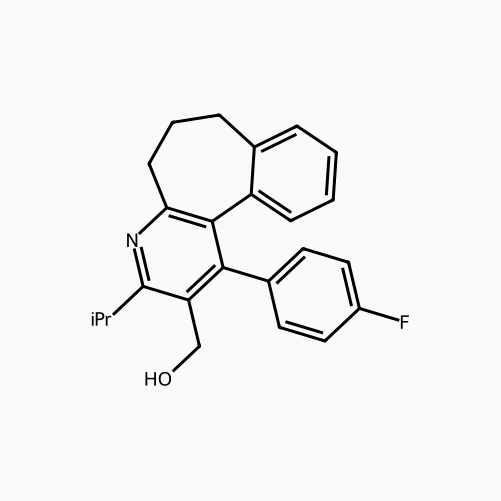 CC(C)c1nc2c(c(-c3ccc(F)cc3)c1CO)-c1ccccc1CCC2